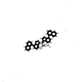 C[SiH](C)[Zr]([CH]1C=Cc2c(-c3cccc4ccccc34)cccc21)[CH]1C=Cc2c(-c3cccc4ccccc34)cccc21